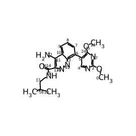 COc1ncc(-c2cccc3c(N)c(C(=O)NCC(C)C)nnc23)c(OC)n1